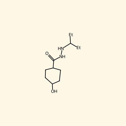 CCC(CC)NNC(=O)C1CCC(O)CC1